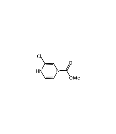 COC(=O)N1C=CNC(Cl)=C1